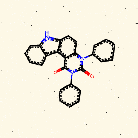 O=c1c2c3c(ccc2n(-c2ccccc2)c(=O)n1-c1ccccc1)[nH]c1ccccc13